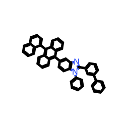 c1ccc(-c2cccc(-c3nc4cc(-c5c6ccccc6c(-c6cccc7ccccc67)c6ccccc56)ccc4n3-c3ccccc3)c2)cc1